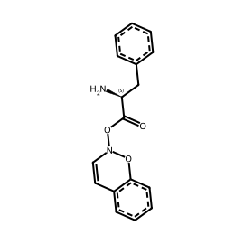 N[C@@H](Cc1ccccc1)C(=O)ON1C=Cc2ccccc2O1